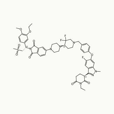 CCOc1cc([C@@H](CS(C)(=O)=O)N2C(=O)c3ccc(N4CCN([C@@H]5CCN(Cc6ccc(Oc7cc8c(cc7F)c([C@@H]7CCC(=O)N(CC)C7=O)nn8C)cc6)CC5(F)F)CC4)cc3C2=O)ccc1OC